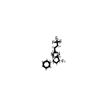 F[C@@H]1C[C@H](c2ccccc2)n2nc(CCC(F)(F)F)nc21